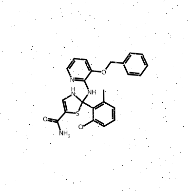 Cc1cccc(Cl)c1C1(Nc2ncccc2OCc2ccccc2)NC=C(C(N)=O)S1